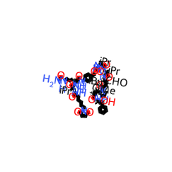 CC[C@H](C)[C@@H]([C@H](C=O)CC(=O)N1CCC[C@H]1[C@H](OC)[C@@H](C)C(=O)N[C@H](C)[C@@H](O)c1ccccc1)N(C)C(=O)[C@@H](NC(=O)C(C(C)C)N(C)C(=O)OCc1ccc(NC(=O)[C@@H](CCCNC(N)=O)NC(=O)[C@H](NC(=O)CCCCCN2C(=O)C=CC2=O)C(C)C)cc1)C(C)C